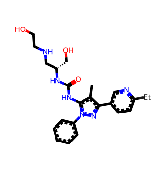 CCc1ccc(-c2nn(-c3ccccc3)c(NC(=O)N[C@@H](CO)CNCCO)c2C)cn1